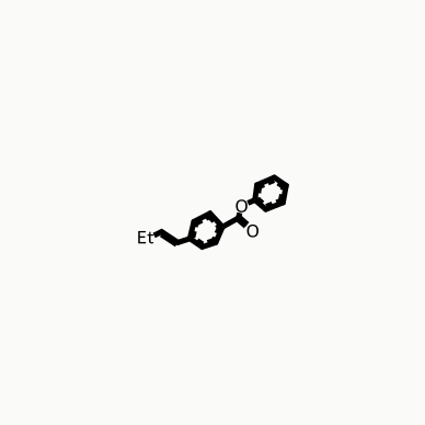 CCC=Cc1ccc(C(=O)Oc2ccccc2)cc1